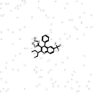 CCC(CC)c1nc2ccc(C(F)(F)F)cc2c(-c2ccccc2)c1-c1nn[nH]n1